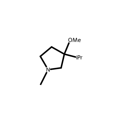 COC1(C(C)C)CCN(C)C1